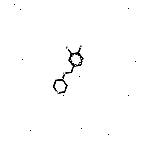 Fc1ccc(COC2CC[N]CC2)cc1F